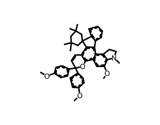 COc1ccc(C2(c3ccc(OC)cc3)C=Cc3c4c(c5c6c(c(OC)cc5c3O2)N(C)CC6)-c2ccccc2C42CC(C)(C)CC(C)(C)C2)cc1